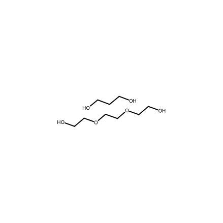 OCCCO.OCCOCCOCCO